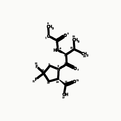 COC(=O)N[C@H](C(=O)N1CC(F)(F)C[C@H]1C(=O)O)C(C)C